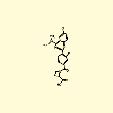 CN(C)c1nc(-c2ccc(C(=O)N3CCC3C(=O)O)cc2F)nc2ccc(Cl)cc12